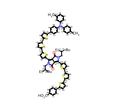 CCCCC(CC)CN1C(=O)C2=C(c3ccc(-c4ccc(-c5ccc(-c6ccc(N(c7ccc(C)cc7)c7cccc(C)c7)cc6)s5)s4)s3)N(CC(CC)CCCC)C(=O)C2=C1c1ccc(-c2ccc(-c3ccc(-c4ccc(C(=O)O)cc4)s3)s2)s1